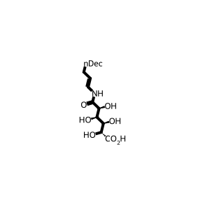 CCCCCCCCCCC/C=C/NC(=O)[C@@H](O)[C@H](O)[C@@H](O)[C@@H](O)C(=O)O